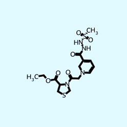 CCOC(=O)C1CSCN1C(=O)CN1C=CC=C(C(=O)NNS(C)(=O)=O)C1